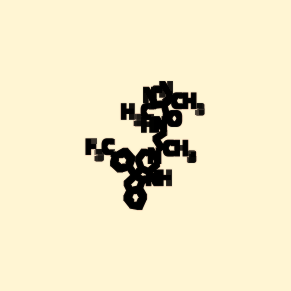 Cc1ncnc(C)c1C(=O)NCCC(C)N1CCC(C2(c3ccc(C(F)(F)F)cc3)Cc3ccccc3C2=N)CC1